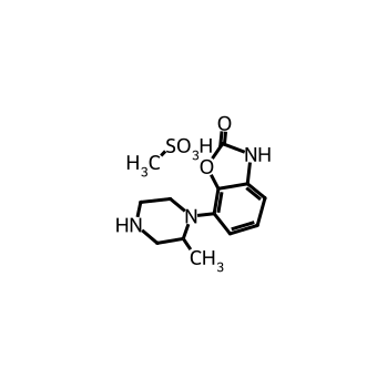 CC1CNCCN1c1cccc2[nH]c(=O)oc12.CS(=O)(=O)O